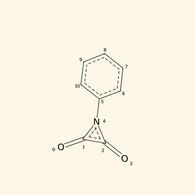 O=c1c(=O)n1-c1ccccc1